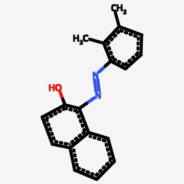 Cc1cccc(N=Nc2c(O)ccc3ccccc23)c1C